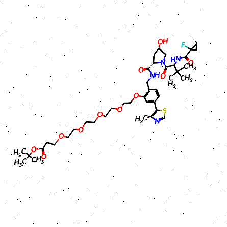 Cc1ncsc1-c1ccc(CNC(=O)[C@@H]2C[C@@H](O)CN2C(=O)[C@@H](NC(=O)C2(F)CC2)C(C)(C)C)c(OCCOCCOCCOCCOCCC(=O)OC(C)(C)C)c1